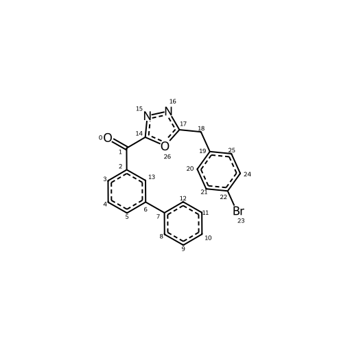 O=C(c1cccc(-c2ccccc2)c1)c1nnc(Cc2ccc(Br)cc2)o1